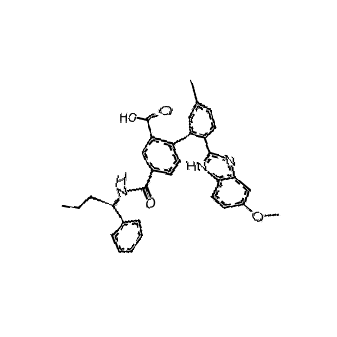 CCC[C@@H](NC(=O)c1ccc(-c2cc(C)ccc2-c2nc3cc(OC)ccc3[nH]2)c(C(=O)O)c1)c1ccccc1